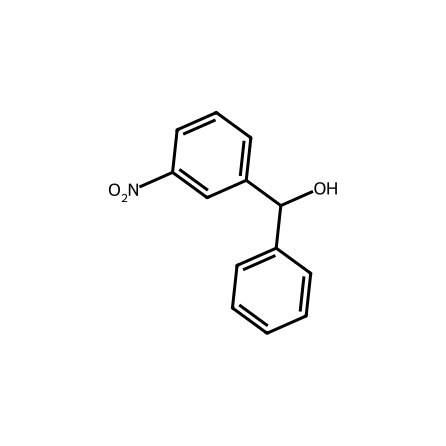 O=[N+]([O-])c1cccc(C(O)c2ccccc2)c1